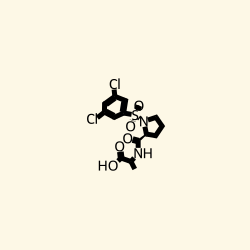 CC(NC(=O)[C@@H]1CCCN1S(=O)(=O)c1cc(Cl)cc(Cl)c1)C(=O)O